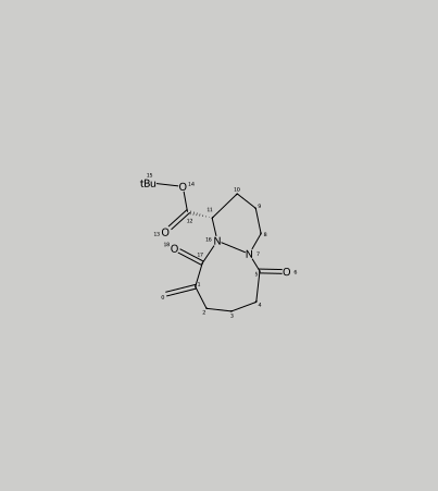 C=C1CCCC(=O)N2CCC[C@@H](C(=O)OC(C)(C)C)N2C1=O